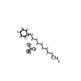 CCCCCCCCCC[n+]1ccccc1.O=[SH](=O)[O-]